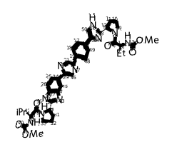 CC[C@H](NC(=O)OC)C(=O)N1CCC[C@H]1c1nc(-c2ccc(-c3cnc(-c4ccc5[nH]c([C@@H]6CCCN6C(=O)[C@@H](NC(=O)OC)C(C)C)nc5c4)cn3)cc2)c[nH]1